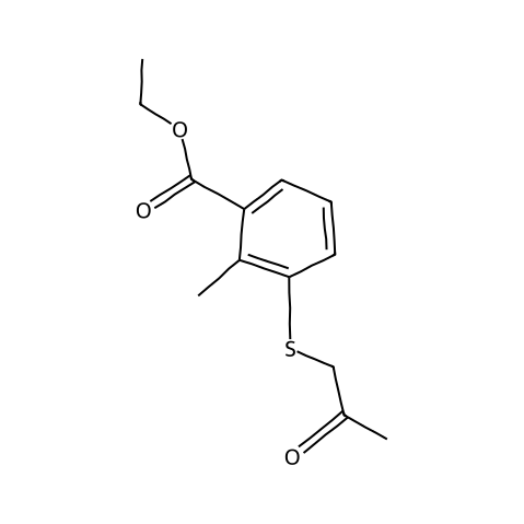 CCOC(=O)c1cccc(SCC(C)=O)c1C